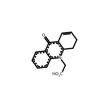 O=C(O)Cn1c2c(c(=O)c3ccccc31)C=CCC2